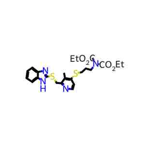 CCOC(=O)N(CCCSc1ccnc(CSc2nc3ccccc3[nH]2)c1C)C(=O)OCC